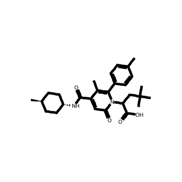 Cc1ccc(-c2c(C)c(C(=O)N[C@H]3CC[C@H](C)CC3)cc(=O)n2C(CC(C)(C)C)C(=O)O)cc1